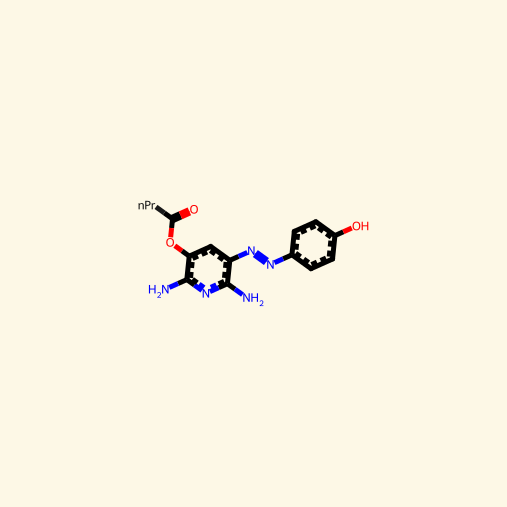 CCCC(=O)Oc1cc(/N=N/c2ccc(O)cc2)c(N)nc1N